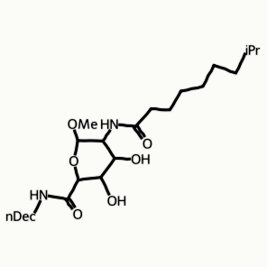 CCCCCCCCCCNC(=O)C1OC(OC)C(NC(=O)CCCCCCC(C)C)C(O)C1O